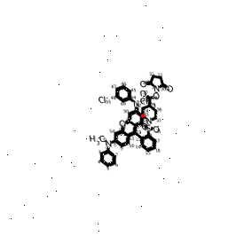 CN(c1ccccc1)c1ccc2c(-c3ccccc3S(=O)(=O)N3CCC(C(=O)ON4C(=O)CCC4=O)CC3)c3ccc(=[N+](C)c4ccccc4)cc-3oc2c1.[Cl-]